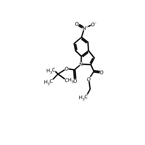 CCOC(=O)c1cc2cc([N+](=O)[O-])ccc2n1C(=O)OC(C)(C)C